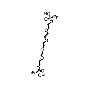 CC(C)P(=O)(O)OCCOCCOCCOCCOCCOP(=O)(O)C(C)C